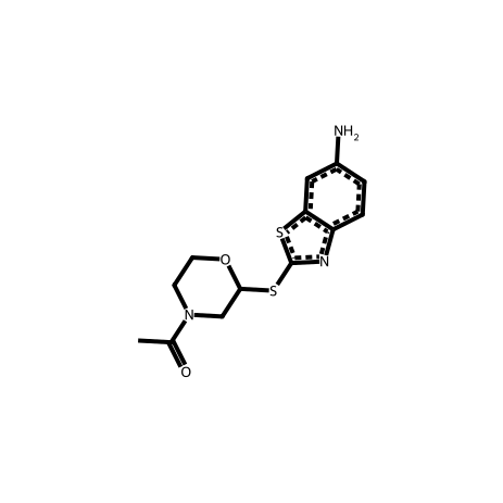 CC(=O)N1CCOC(Sc2nc3ccc(N)cc3s2)C1